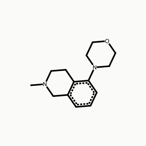 CN1CCc2c(cccc2N2CCOCC2)C1